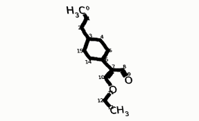 CCCC1CCC(C(C=O)=COCC)CC1